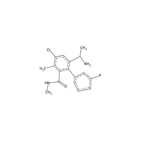 CNC(=O)c1c(C)c(Cl)cc(C(C)N)c1-c1cccc(F)c1